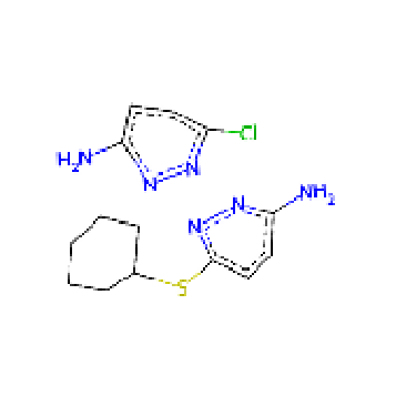 Nc1ccc(Cl)nn1.Nc1ccc(SC2CCCCC2)nn1